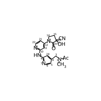 CC(=O)N(C)Cc1ccnc(Nc2cc(N3CC[C@](O)(C#N)C3=O)ccn2)c1